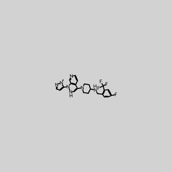 Cn1nccc1N1NC=C(N2CCC(NCc3ccc(F)cc3C(F)(F)F)CC2)c2ccncc21